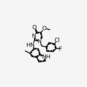 COc1cn(Cc2ccc(F)c(Cl)c2)c(Nc2cc3[nH]ccc3cc2C)nc1=O